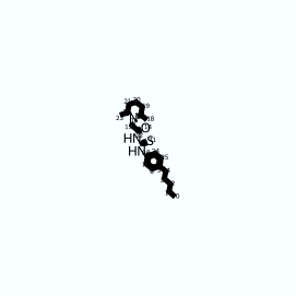 CCCCCc1ccc(NC(=S)NC(=O)CN2C(C)CCCC2C)cc1